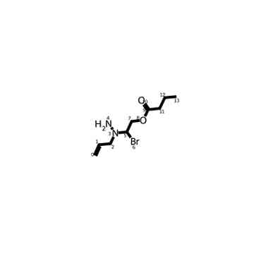 C=CCN(N)C(Br)COC(=O)CCC